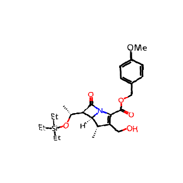 CC[Si](CC)(CC)O[C@H](C)[C@H]1C(=O)N2C(C(=O)OCc3ccc(OC)cc3)=C(CO)[C@H](C)[C@@H]12